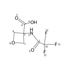 O=C(NC1(C(=O)O)COC1)C(F)(F)F